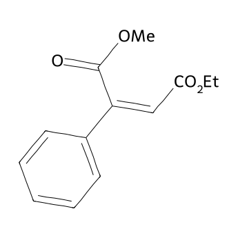 CCOC(=O)C=C(C(=O)OC)c1ccccc1